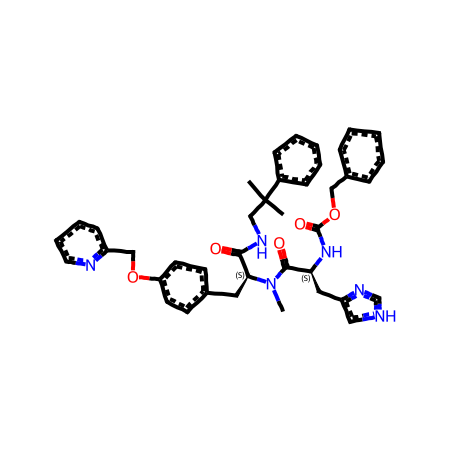 CN(C(=O)[C@H](Cc1c[nH]cn1)NC(=O)OCc1ccccc1)[C@@H](Cc1ccc(OCc2ccccn2)cc1)C(=O)NCC(C)(C)c1ccccc1